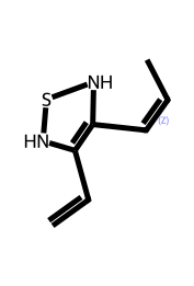 C=CC1=C(/C=C\C)NSN1